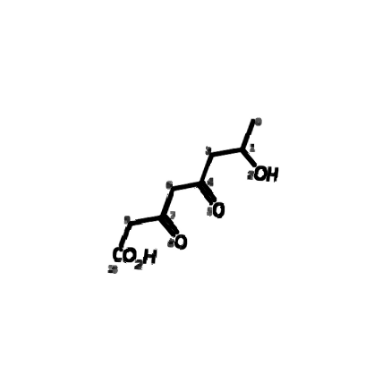 CC(O)CC(=O)CC(=O)CC(=O)O